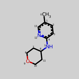 Cc1ccc(NC2CCOCC2)nc1